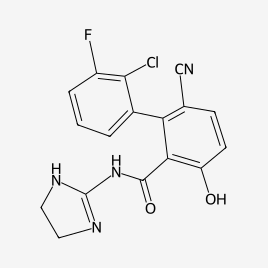 N#Cc1ccc(O)c(C(=O)NC2=NCCN2)c1-c1cccc(F)c1Cl